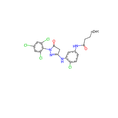 CCCCCCCCCCCCC(=O)Nc1ccc(Cl)c(NC2=NN(c3c(Cl)cc(Cl)cc3Cl)C(=O)C2)c1